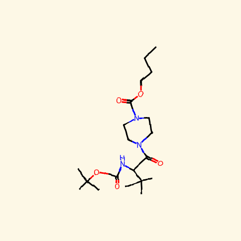 CCCCOC(=O)N1CCN(C(=O)C(NC(=O)OC(C)(C)C)C(C)(C)C)CC1